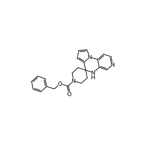 O=C(OCc1ccccc1)N1CCC2(CC1)Nc1cnccc1-n1cccc12